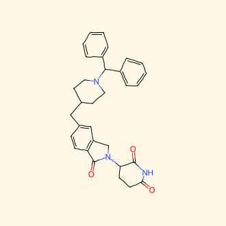 O=C1CCC(N2Cc3cc(CC4CCN(C(c5ccccc5)c5ccccc5)CC4)ccc3C2=O)C(=O)N1